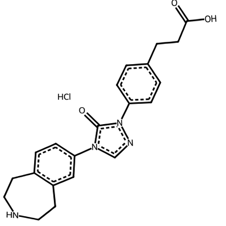 Cl.O=C(O)CCc1ccc(-n2ncn(-c3ccc4c(c3)CCNCC4)c2=O)cc1